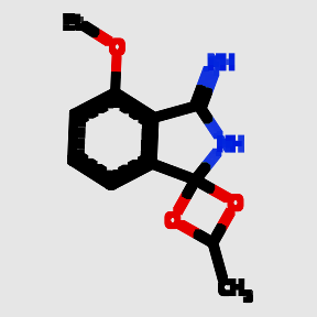 CCOc1cccc2c1C(=N)NC21OC(C)O1